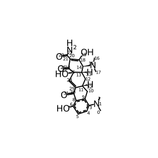 CN(C)c1ccc(O)c2c1C[C@H]1C[C@H]3[C@H](N(C)C)C(O)=C(C(N)=O)C(=O)[C@@]3(O)C=C1C2=O